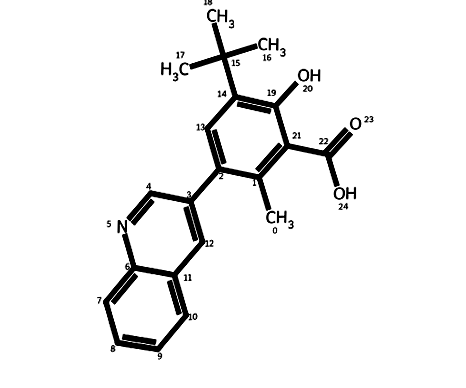 Cc1c(-c2cnc3ccccc3c2)cc(C(C)(C)C)c(O)c1C(=O)O